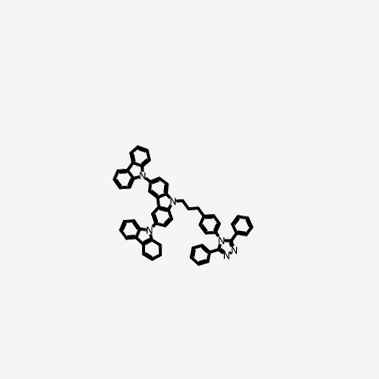 C1=Cc2c(n(-c3ccc4c(c3)c3cc(-n5c6ccccc6c6ccccc65)ccc3n4CCCc3ccc(-n4c(-c5ccccc5)nnc4-c4ccccc4)cc3)c3ccccc23)CC1